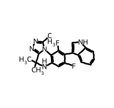 Cc1nnc2n1-c1c(cc(F)c(-c3c[nH]c4ccccc34)c1F)NC2(C)C